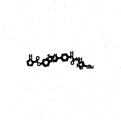 CC(C)(C)c1cc(NC(=O)Nc2ccc(-c3cn4c(n3)sc3cc(OC(=O)C5CCCN5)ccc34)cc2)no1